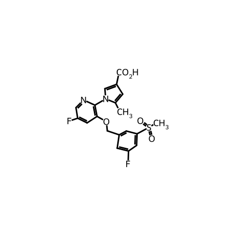 Cc1cc(C(=O)O)cn1-c1ncc(F)cc1OCc1cc(F)cc(S(C)(=O)=O)c1